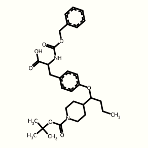 CCCC(Oc1ccc(CC(NC(=O)OCc2ccccc2)C(=O)O)cc1)C1CCN(C(=O)OC(C)(C)C)CC1